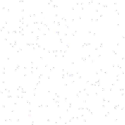 Cn1cc(NC(=O)c2cc(NC(=O)c3nc(NC(=O)O)cn3C)cn2C)cc1C(=O)NCCCO